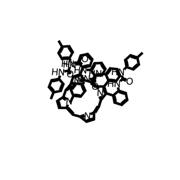 Cc1ccc(NC(=O)Nc2ccccc2C2=CC3=CC4=NC(=CC5=NC(=CC6=NC(=C(c7ccccc7NC(=O)Nc7ccc(C)cc7)C2=N3)C(c2ccccc2NC(=O)Nc2ccc(C)cc2)=C6c2ccccc2NC(=O)Nc2ccc(C)cc2)C=C5)C=C4)cc1